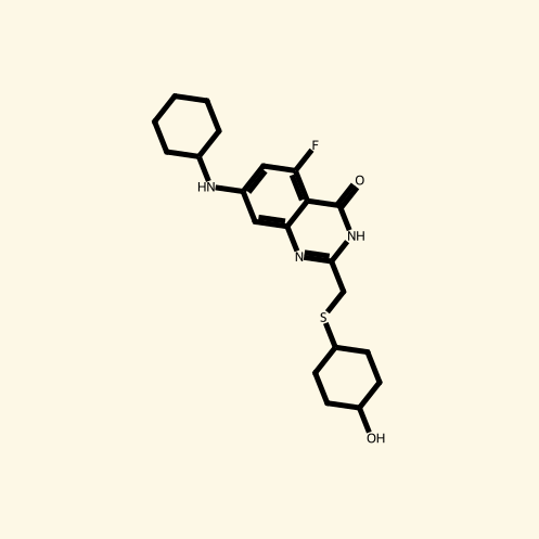 O=c1[nH]c(CSC2CCC(O)CC2)nc2cc(NC3CCCCC3)cc(F)c12